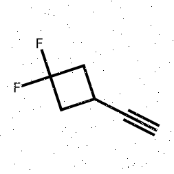 C#CC1CC(F)(F)C1